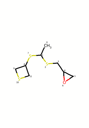 CC(SCC1CO1)SC1CSC1